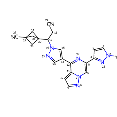 Cn1ccc(-c2cn3nccc3c(-c3cnn(C(CC#N)C45CC(C#N)(C4)C5)c3)n2)n1